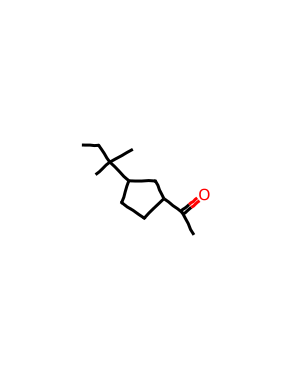 CCC(C)(C)C1CCC(C(C)=O)C1